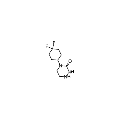 O=C1NNCCN1C1CCC(F)(F)CC1